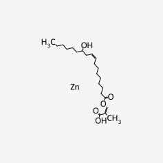 CCCCCC[C@@H](O)C/C=C\CCCCCCCC(=O)OC=C(C)C(=O)O.[Zn]